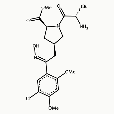 COC(=O)[C@@H]1C[C@H](C/C(=N\O)c2cc(Cl)c(OC)cc2OC)CN1C(=O)[C@@H](N)C(C)(C)C